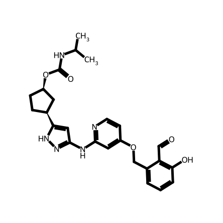 CC(C)NC(=O)O[C@@H]1CC[C@H](c2cc(Nc3cc(OCc4cccc(O)c4C=O)ccn3)n[nH]2)C1